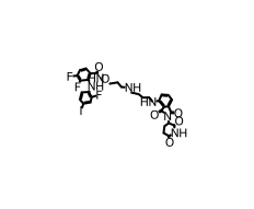 O=C1CCC(N2C(=O)c3cccc(NCCCCNCCCONC(=O)c4ccc(F)c(F)c4Nc4ccc(I)cc4F)c3C2=O)C(=O)N1